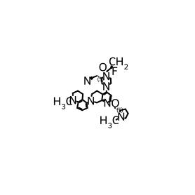 C=C(F)C(=O)N1CCN(c2cc(OC[C@@H]3CCCN3C)nc3c2CCN(c2cccc4c2CCCN4C)C3)C[C@@H]1CC#N